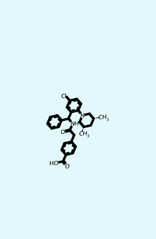 C[C@@H]1C[C@H](C)CN(c2ccc(Cl)cc2C(NC(=O)Cc2ccc(C(=O)O)cc2)c2ccccc2)C1